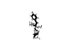 Cc1cnc(CNC(=N)CC2C=CC(F)=CC2)s1